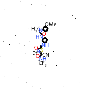 CCn1c(=C(C#N)C(=O)NCC(F)(F)F)sc(=CNc2cccc(NC(=O)CN(C)c3cccc(OC)c3)c2)c1=O